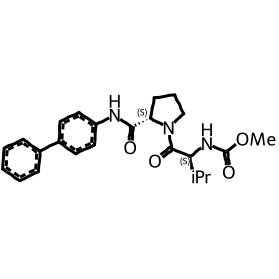 COC(=O)N[C@H](C(=O)N1CCC[C@H]1C(=O)Nc1ccc(-c2ccccc2)cc1)C(C)C